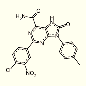 Cc1ccc(-n2c(=O)[nH]c3c(C(N)=O)nc(-c4ccc(Cl)c([N+](=O)[O-])c4)nc32)cc1